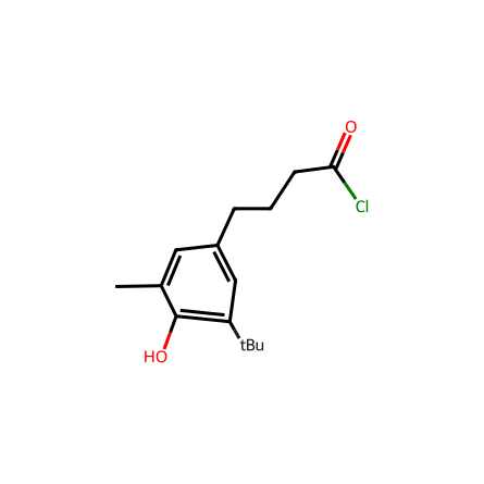 Cc1cc(CCCC(=O)Cl)cc(C(C)(C)C)c1O